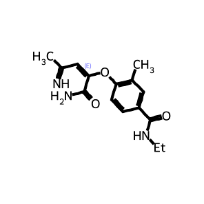 CCNC(=O)c1ccc(O/C(=C/C(C)=N)C(N)=O)c(C)c1